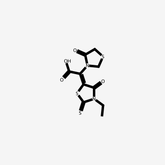 CCN1C(=O)C(=C(C(=O)O)N2CSCC2=O)SC1=S